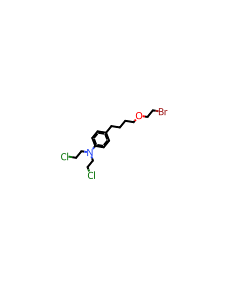 ClCCN(CCCl)c1ccc(CCCCOCCBr)cc1